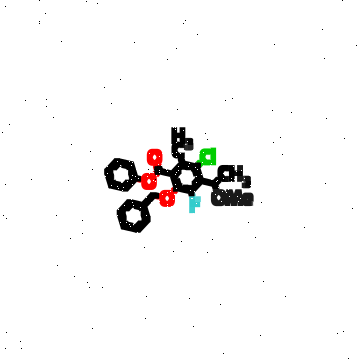 COC(C)c1c(F)c(OCc2ccccc2)c(C(=O)Oc2ccccc2)c(C)c1Cl